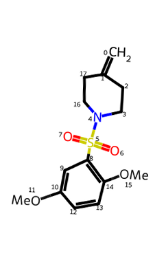 C=C1CCN(S(=O)(=O)c2cc(OC)ccc2OC)CC1